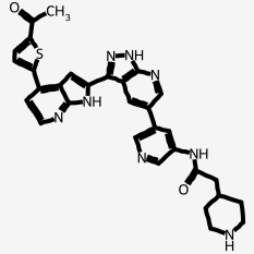 CC(=O)c1ccc(-c2ccnc3[nH]c(-c4n[nH]c5ncc(-c6cncc(NC(=O)CC7CCNCC7)c6)cc45)cc23)s1